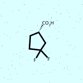 O=C(O)[C@H]1CCC(F)(F)C1